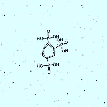 O=P(O)(O)c1ccc(P(=O)(O)O)c(P(=O)(O)O)c1